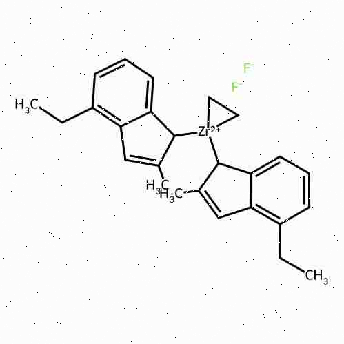 CCc1cccc2c1C=C(C)[CH]2[Zr+2]1([CH]2C(C)=Cc3c(CC)cccc32)[CH2][CH2]1.[F-].[F-]